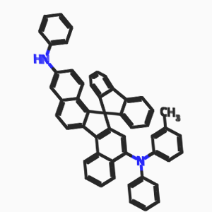 Cc1cccc(N(c2ccccc2)c2cc3c(c4ccccc24)-c2ccc4cc(Nc5ccccc5)ccc4c2C32c3ccccc3-c3ccccc32)c1